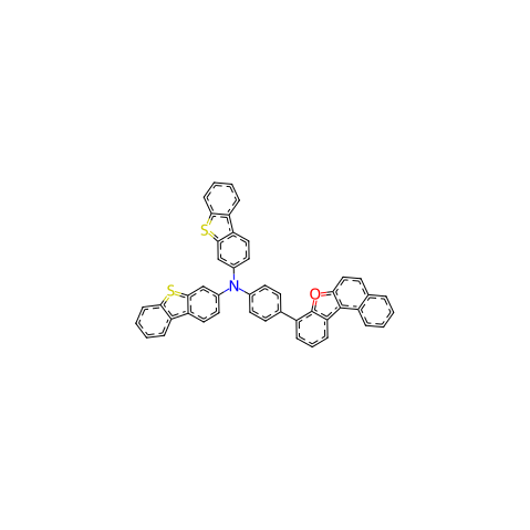 c1ccc2c(c1)ccc1oc3c(-c4ccc(N(c5ccc6c(c5)sc5ccccc56)c5ccc6c(c5)sc5ccccc56)cc4)cccc3c12